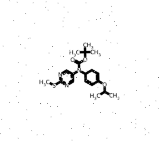 CSc1ncc(N(C(=O)OC(C)(C)C)C2C=CC(OC(C)C)=CC2)cn1